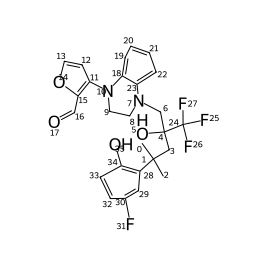 CC(C)(CC(O)(CN1CCN(c2ccoc2C=O)c2ccccc21)C(F)(F)F)c1cc(F)ccc1O